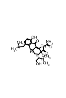 CN(C)Cc1ccc(O)c2c1C[C@H]1C[C@@H](C(CO)N(C)C)[C@@](O)(C(=O)CC(N)=O)C(O)=C1C2=O